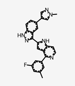 Cc1cc(F)cc(-c2nccc3[nH]c(-c4n[nH]c5ccc(-c6cnn(C)c6)cc45)cc23)c1